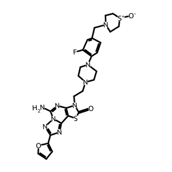 Nc1nc2c(sc(=O)n2CCN2CCN(c3ccc(CN4CC[S+]([O-])CC4)cc3F)CC2)c2nc(-c3ccco3)nn12